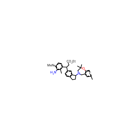 CCOC(=O)CC(c1ccc2c(c1)C(N1Cc3cc(C)ccc3OC(C)(C)C1)CC2)c1ccc(NC)c(N)c1C